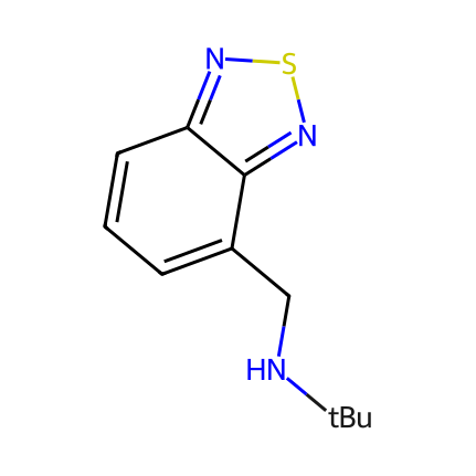 CC(C)(C)NCc1cccc2nsnc12